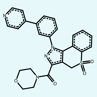 O=C(c1nn(-c2cccc(-c3ccncc3)c2)c2c1CS(=O)(=O)c1ccccc1-2)N1CCOCC1